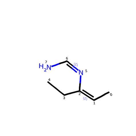 C/C=C(CC)\N=C/N